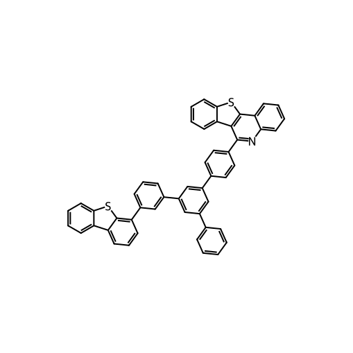 c1ccc(-c2cc(-c3ccc(-c4nc5ccccc5c5sc6ccccc6c45)cc3)cc(-c3cccc(-c4cccc5c4sc4ccccc45)c3)c2)cc1